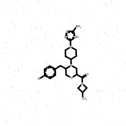 CC1CN(C(=O)C2CN(C3CCN(c4nnc(N)[nH]4)CC3)C(Cc3ccc(Cl)cc3)CO2)C1